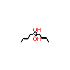 C/C=C/C[Si](O)(O)C/C=C/C